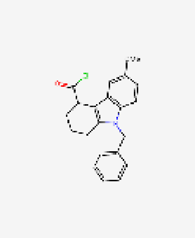 COc1ccc2c(c1)c1c(n2Cc2ccccc2)CCCC1C(=O)Cl